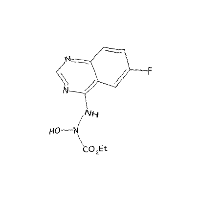 CCOC(=O)N(O)Nc1ncnc2ccc(F)cc12